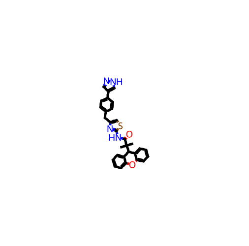 CC(C)(C(=O)Nc1nc(Cc2ccc(-c3cn[nH]c3)cc2)cs1)C1c2ccccc2Oc2ccccc21